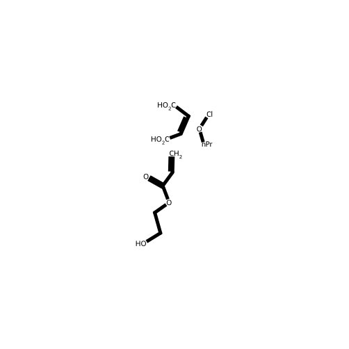 C=CC(=O)OCCO.CCCOCl.O=C(O)/C=C\C(=O)O